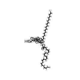 CC/C=C\C/C=C\C/C=C\C/C=C\C/C=C\C/C=C\CCC(=O)OC[C@H](COP(=O)(O)OC[C@@H](O)CO)OC(=O)CCCCCCCCCCCCCCCCCC